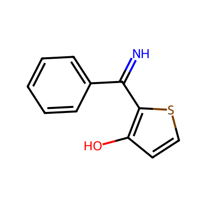 N=C(c1ccccc1)c1sccc1O